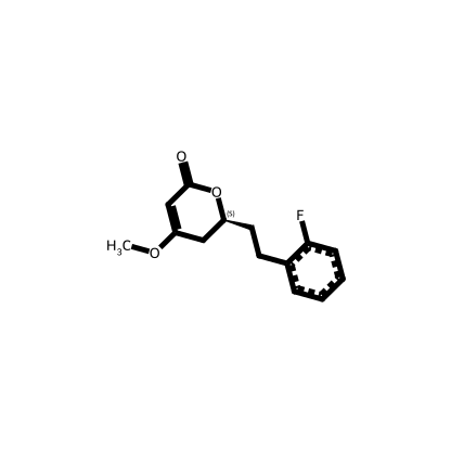 COC1=CC(=O)O[C@@H](CCc2ccccc2F)C1